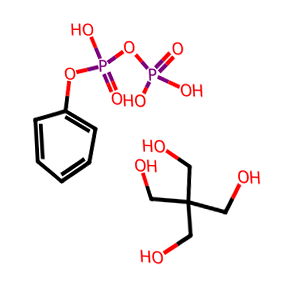 O=P(O)(O)OP(=O)(O)Oc1ccccc1.OCC(CO)(CO)CO